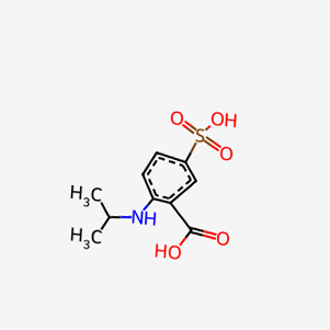 CC(C)Nc1ccc(S(=O)(=O)O)cc1C(=O)O